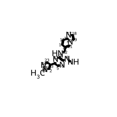 Cn1cc(-c2cnc(N=N)c(NCc3ccc4nccn4c3)n2)cn1